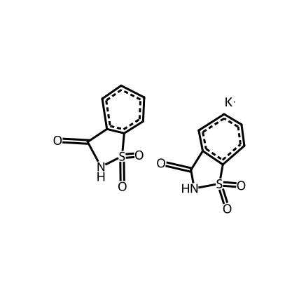 O=C1NS(=O)(=O)c2ccccc21.O=C1NS(=O)(=O)c2ccccc21.[K]